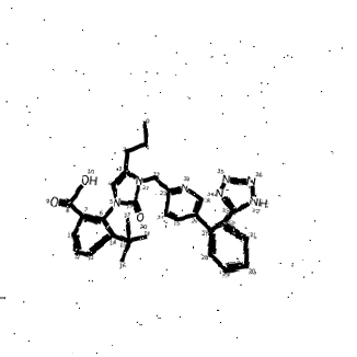 CCCc1cn(-c2c(C(=O)O)cccc2C(C)(C)C)c(=O)n1Cc1ccc(-c2ccccc2-c2nnn[nH]2)cn1